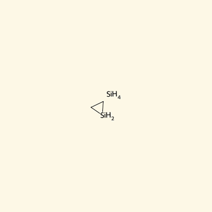 C1C[SiH2]1.[SiH4]